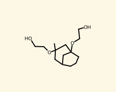 CC1(OCCO)CC2CCCC(OCCO)(C2)C1